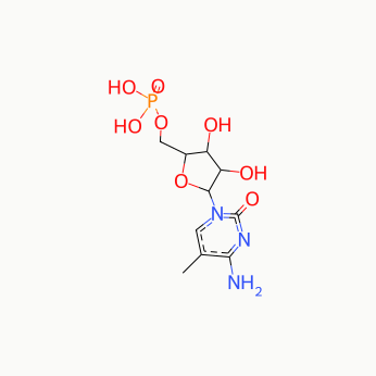 Cc1cn(C2OC(COP(=O)(O)O)C(O)C2O)c(=O)nc1N